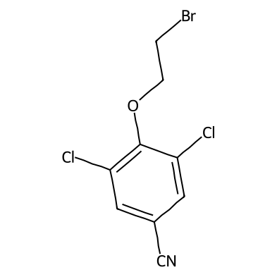 N#Cc1cc(Cl)c(OCCBr)c(Cl)c1